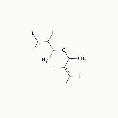 CC(OC(C)C(I)=C(I)I)C(I)=C(I)I